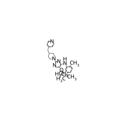 COc1cnc(N2CCC(Cc3ccncc3)CC2)nc1Nc1cc(C(C)(C)C)ccc1C